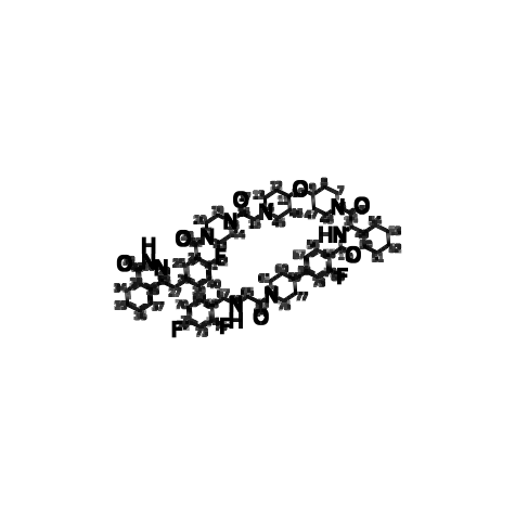 O=C(N[C@@H](C(=O)N1CCC(OC2CCN(CC(=O)N3CCN(C(=O)c4cc(Cc5n[nH]c(=O)c6ccccc56)ccc4F)CC3)CC2)CC1)C1CCCCC1)c1ccc(C2CCN(C(=O)CNCc3ccc(F)cc3F)CC2)cc1F